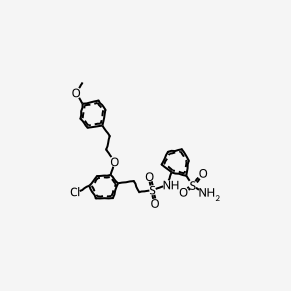 COc1ccc(CCOc2cc(Cl)ccc2CCS(=O)(=O)Nc2ccccc2S(N)(=O)=O)cc1